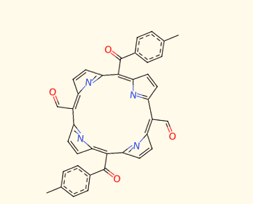 Cc1ccc(C(=O)C2=C3C=CC(=N3)C(C=O)=C3C=CC(=N3)C(C(=O)c3ccc(C)cc3)=C3C=CC(=N3)C(C=O)=C3C=CC2=N3)cc1